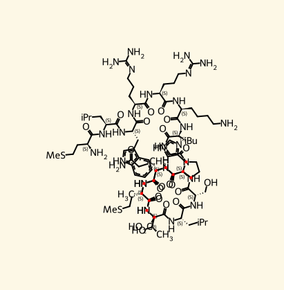 CC[C@H](C)[C@H](NC(=O)[C@H](CCCCN)NC(=O)[C@H](CCCN=C(N)N)NC(=O)[C@H](CCCN=C(N)N)NC(=O)[C@H](Cc1c[nH]c2ccccc12)NC(=O)[C@H](CC(C)C)NC(=O)[C@@H](N)CCSC)C(=O)NCC(=O)N1CCC[C@H]1C(=O)N[C@@H](CCC(N)=O)C(=O)N[C@@H](CCSC)C(=O)N[C@H](C(=O)N[C@@H](CC(C)C)C(=O)N[C@@H](CO)C(=O)N[C@@H](Cc1c[nH]cn1)C(=O)N[C@@H](C)C(=O)N[C@@H](C)C(=O)NCC(=O)O)[C@@H](C)O